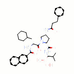 CC(C)[C@H](NC(=O)[C@@H]1C[C@@H](NC(=O)CCc2ccccc2)CN1C(=O)[C@@H](CC1CCCCC1)NC(=O)c1ccc2ccccc2c1)B(O)O